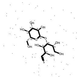 OC[C@@H](O)[C@@H](O[C@H]1O[C@H](CO)[C@@H](O)[C@H](O)[C@H]1O)[C@H](O)[C@@H](O)C=S